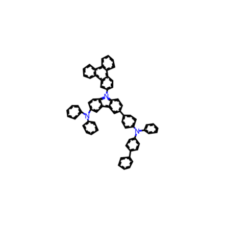 c1ccc(-c2ccc(N(c3ccccc3)c3ccc(-c4ccc5c(c4)c4cc(N(c6ccccc6)c6ccccc6)ccc4n5-c4ccc5c6ccccc6c6ccccc6c5c4)cc3)cc2)cc1